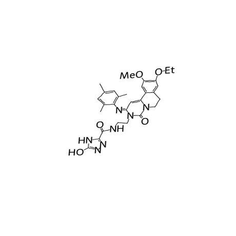 CCOc1cc2c(cc1OC)-c1c/c(=N\c3c(C)cc(C)cc3C)n(CCNC(=O)c3nnc(O)[nH]3)c(=O)n1CC2